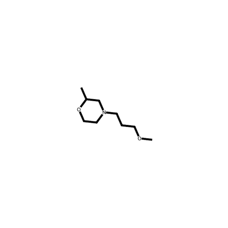 COCCCN1CCOC(C)C1